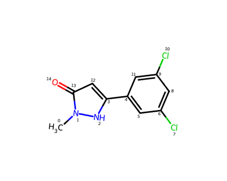 Cn1[nH]c(-c2cc(Cl)cc(Cl)c2)cc1=O